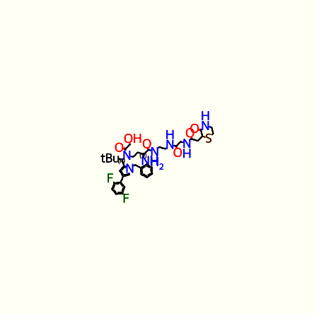 CC(C)(C)[C@H](c1cc(-c2cc(F)ccc2F)cn1Cc1ccccc1)N(CC[C@H](N)C(=O)NCCNC(=O)CNC(=O)CC1SCCNC1=O)C(=O)CO